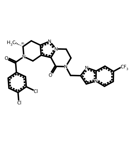 C[C@@H]1Cc2nn3c(c2CN1C(=O)c1ccc(Cl)c(Cl)c1)C(=O)N(Cc1cn2ccc(C(F)(F)F)cc2n1)CC3